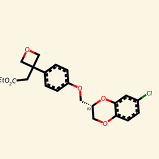 CCOC(=O)CC1(c2ccc(OC[C@H]3COc4ccc(Cl)cc4O3)cc2)COC1